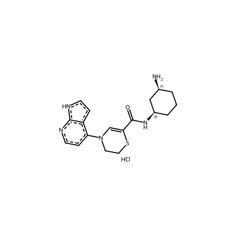 Cl.N[C@H]1CCC[C@@H](NC(=O)C2=CN(c3ccnc4[nH]ccc34)CCS2)C1